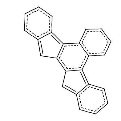 C1=c2ccccc2=c2c1c1c(c3ccccc23)=c2ccccc2=C1